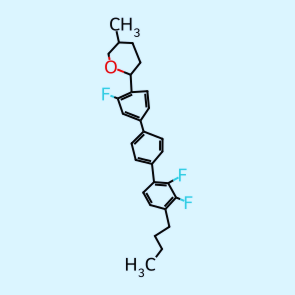 CCCCc1ccc(-c2ccc(-c3ccc(C4CCC(C)CO4)c(F)c3)cc2)c(F)c1F